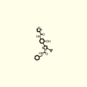 O=C(Nc1ccc(-c2cc(C3CC3)n(C(=O)NCc3ccccc3)n2)c(O)c1)c1ccno1